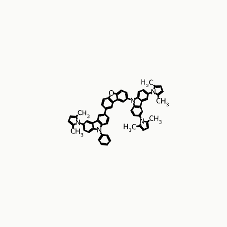 Cc1ccc(C)n1-c1ccc2c(c1)c1cc(-c3ccc4oc5ccc(-n6c7ccc(-n8c(C)ccc8C)cc7c7cc(-n8c(C)ccc8C)ccc76)cc5c4c3)ccc1n2-c1ccccc1